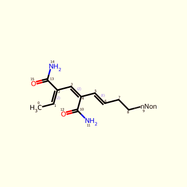 C/C=C(/C=C(/C=C/CCCCCCCCCCC)C(N)=O)C(N)=O